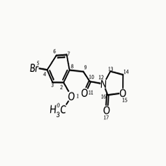 COc1cc(Br)ccc1CC(=O)N1CCOC1=O